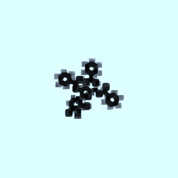 O=C(OC[C@H]1O[C@@H](n2ccc(=O)[nH]c2=O)C(OC(=O)c2ccccc2)C1OC(=O)c1ccccc1)c1ccccc1